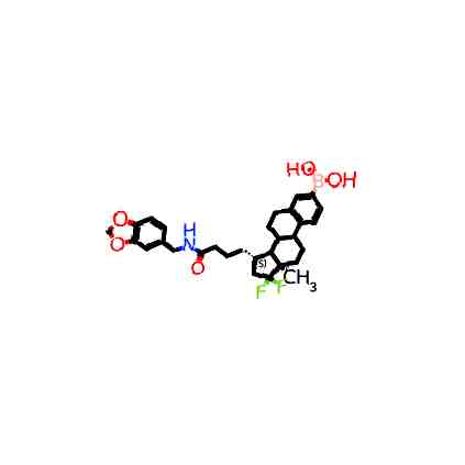 C[C@]12CCC3c4ccc(B(O)O)cc4CCC3C1[C@@H](CCCC(=O)NCc1ccc3c(c1)OCO3)CC2(F)F